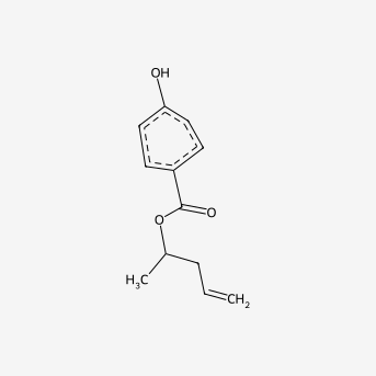 C=CCC(C)OC(=O)c1ccc(O)cc1